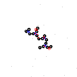 c1ccc(-c2ccc(N(c3ccc(-c4cccc(-n5c6ccccc6c6cc(-c7cccc(-c8ccc(N(c9ccc(-c%10cccc(-n%11c%12ccccc%12c%12ccccc%12%11)c%10)cc9)c9ccc%10c(c9)oc9ccccc9%10)cc8)c7)ccc65)c4)cc3)c3ccc4oc5ccccc5c4c3)cc2)cc1